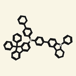 C1=CCCC(c2ccc(N(c3ccc(-c4ccc5c(c4)C4C=CCCC4N5c4ccccc4)cc3)c3ccc4c(c3)C(c3ccccc3)(c3ccccc3)c3ccccc3-4)cc2)=C1